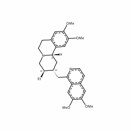 CC[C@H]1CN2CCc3cc(OC)c(OC)cc3[C@@H]2C[C@@H]1Cc1nccc2cc(OC)c(OC)cc12